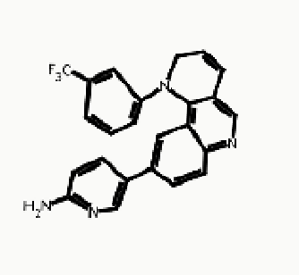 Nc1ccc(-c2ccc3ncc4c(c3c2)N(c2cccc(C(F)(F)F)c2)CC=C4)cn1